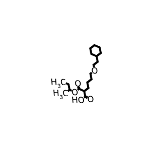 CCC(C)OC(=O)C(CCCCOCCC1CCCCC1)C(=O)O